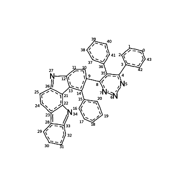 c1ccc(-c2nnnc(-c3ccc4c(c3-c3ccccc3)-c3c5c(ccc3=N4)=c3ccccc3=N5)c2-c2ccccc2)cc1